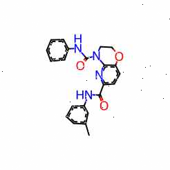 Cc1cccc(NC(=O)c2ccc3c(n2)N(C(=O)Nc2ccccc2)CCO3)c1